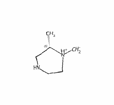 [CH2-][NH+]1CCNC[C@@H]1C